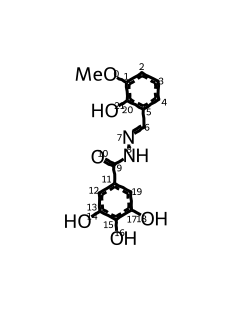 COc1cccc(C=NNC(=O)c2cc(O)c(O)c(O)c2)c1O